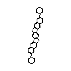 c1cc2cc3c(cc2cc1N1CCCCC1)oc1cc2c(cc13)oc1cc3cc(N4CCCCC4)ccc3cc12